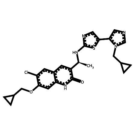 C[C@H](Nc1ncc(-c2cncn2CC2CC2)s1)c1cc2cc(Cl)c(OCC3CC3)cc2[nH]c1=O